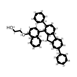 OCCOc1ccc(-c2c(-c3ccccc3)ccc3c2Cc2cc(-c4ccccc4)ccc2-3)c2ccccc12